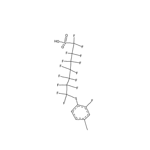 Cc1ccc(SC(F)(F)C(F)(F)C(F)(F)C(F)(F)C(F)(F)C(F)(F)C(F)(F)S(=O)(=O)O)c(F)c1